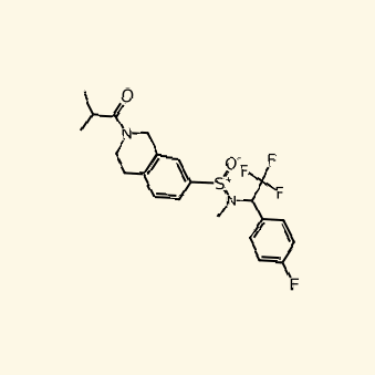 CC(C)C(=O)N1CCc2ccc([S+]([O-])N(C)C(c3ccc(F)cc3)C(F)(F)F)cc2C1